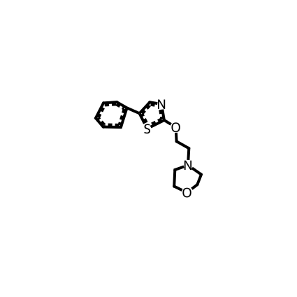 c1ccc(-c2cnc(OCCN3CCOCC3)s2)cc1